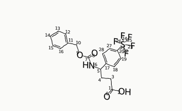 O=C(O)CCC(NC(=O)OCc1ccccc1)c1ccc(S(F)(F)(F)(F)F)cc1